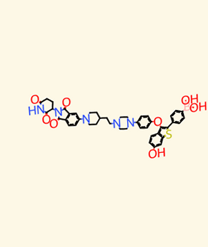 O=C1CCC(N2C(=O)c3ccc(N4CCC(CCN5CCN(c6ccc(Oc7c(-c8ccc(B(O)O)cc8)sc8cc(O)ccc78)cc6)CC5)CC4)cc3C2=O)C(=O)N1